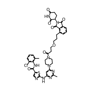 Cc1nc(Nc2ncc(C(=O)Nc3c(C)cccc3Cl)s2)cc(N2CCN(C(=O)CCOCCCc3cccc4c3C(=O)N(C3CCC(=O)NC3=O)C4=O)CC2)n1